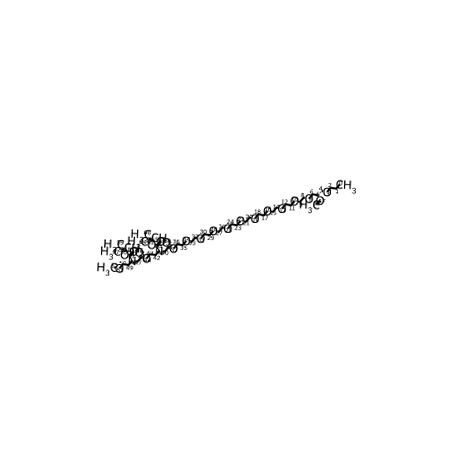 CCCOC[C@@H](COCCOCCOCCOCCOCCOCCOCCOCCOCCOCCOC(=O)CN(CCOC(=O)CN(CCOC)C(=O)OC(C)(C)C)C(=O)OC(C)(C)C)OC